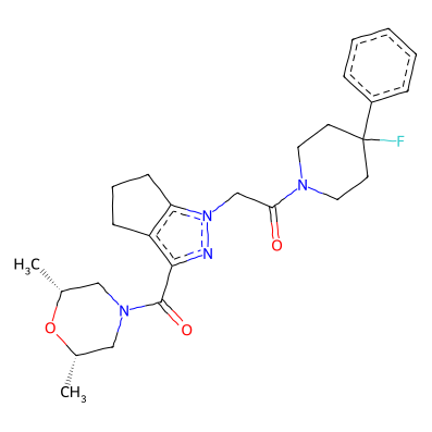 C[C@@H]1CN(C(=O)c2nn(CC(=O)N3CCC(F)(c4ccccc4)CC3)c3c2CCC3)C[C@H](C)O1